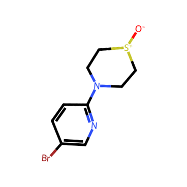 [O-][S+]1CCN(c2ccc(Br)cn2)CC1